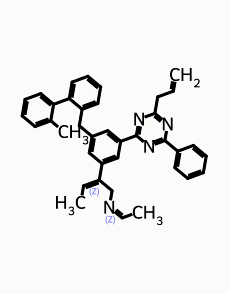 C=CCc1nc(-c2ccccc2)nc(-c2cc(Cc3ccccc3-c3ccccc3C)cc(/C(=C/C)C/N=C\C)c2)n1